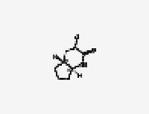 O=C1N[C@H]2CCC[C@@H]2CC1Cl